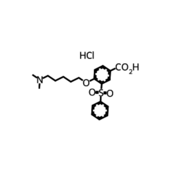 CN(C)CCCCCOc1ccc(C(=O)O)cc1S(=O)(=O)c1ccccc1.Cl